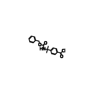 CC(C)(NC(=O)OCc1ccccc1)c1ccc(C(=O)Cl)cc1